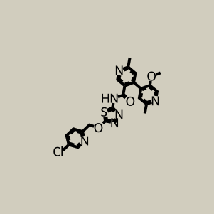 COc1cnc(C)cc1-c1cc(C)ncc1C(=O)Nc1nnc(OCc2ccc(Cl)cn2)s1